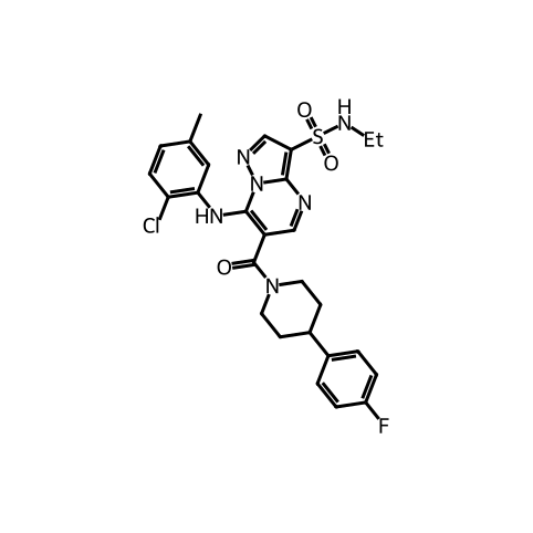 CCNS(=O)(=O)c1cnn2c(Nc3cc(C)ccc3Cl)c(C(=O)N3CCC(c4ccc(F)cc4)CC3)cnc12